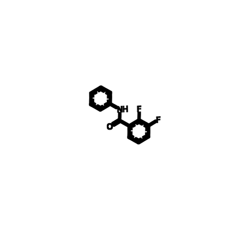 O=C(Nc1ccccc1)c1cccc(F)c1F